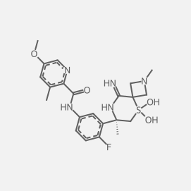 COc1cnc(C(=O)Nc2ccc(F)c([C@]3(C)CS(O)(O)C4(CN(C)C4)C(=N)N3)c2)c(C)c1